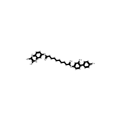 O=C(CCCCCCCCC(=O)Oc1ccc2nc(F)c(F)nc2c1)Oc1ccc(-c2ccc(F)cc2)c(F)c1